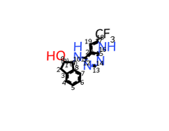 O[C@@H]1Cc2ccccc2[C@@H]1Nc1ncnc2[nH]c(C(F)(F)F)cc12